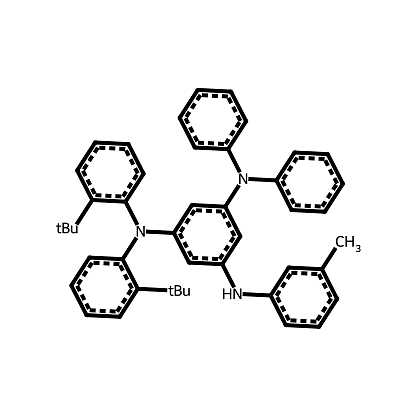 Cc1cccc(Nc2cc(N(c3ccccc3)c3ccccc3)cc(N(c3ccccc3C(C)(C)C)c3ccccc3C(C)(C)C)c2)c1